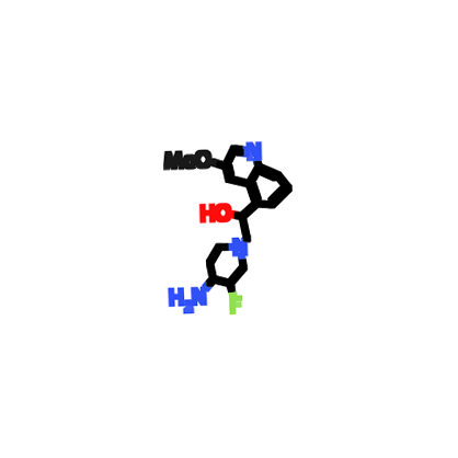 COc1cnc2cccc(C(O)CN3CCC(N)C(F)C3)c2c1